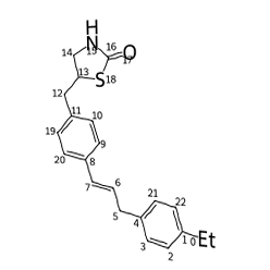 CCc1ccc(CC=Cc2ccc(CC3CNC(=O)S3)cc2)cc1